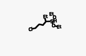 CCO[SiH](OCC)C(CC)CCCCl